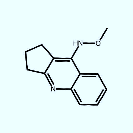 CONc1c2c(nc3ccccc13)CCC2